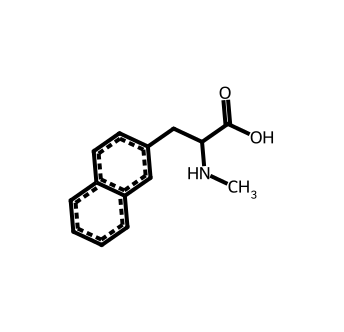 CNC(Cc1ccc2ccccc2c1)C(=O)O